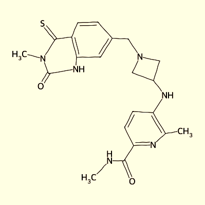 CNC(=O)c1ccc(NC2CN(Cc3ccc4c(=S)n(C)c(=O)[nH]c4c3)C2)c(C)n1